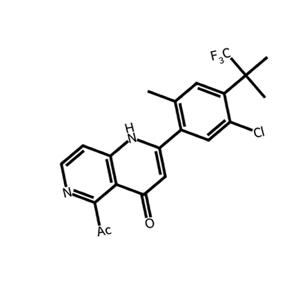 CC(=O)c1nccc2[nH]c(-c3cc(Cl)c(C(C)(C)C(F)(F)F)cc3C)cc(=O)c12